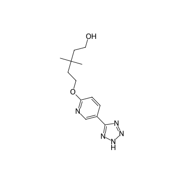 CC(C)(CCO)CCOc1ccc(-c2nn[nH]n2)cn1